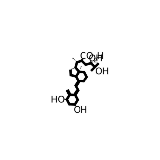 C=C1/C(=C\C=C2CCC[C@@]3(C)C2CC[C@@H]3[C@H](C)C(CC(O)C(C)(C)O)C(=O)O)C[C@@H](O)C[C@H]1O